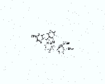 COc1ccc(CC2(C)NCCN(C(c3ccccc3)c3ccc(Cl)cc3)C2=O)cc1OC